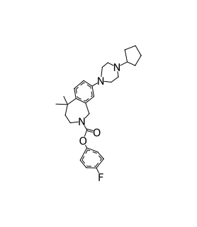 CC1(C)CCN(C(=O)Oc2ccc(F)cc2)Cc2cc(N3CCN(C4CCCC4)CC3)ccc21